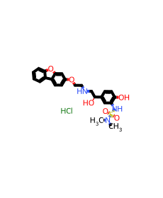 CN(C)S(=O)(=O)Nc1cc([C@H](O)CNCCOc2ccc3c(c2)oc2ccccc23)ccc1O.Cl